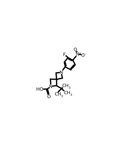 CC(C)(C)C1N(C(=O)O)CC12CN(c1ccc([N+](=O)[O-])c(F)c1)C2